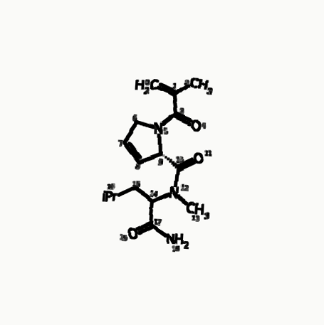 C=C(C)C(=O)N1CC=C[C@H]1C(=O)N(C)C(CC(C)C)C(N)=O